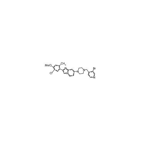 COc1cc(C)c(-c2cn3ccc(N4CCN(Cc5ccncc5Br)CC4)cc3n2)cc1Cl